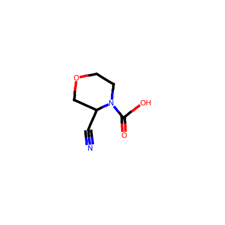 N#CC1COCCN1C(=O)O